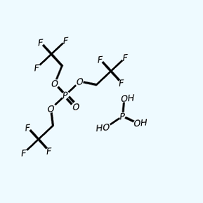 O=P(OCC(F)(F)F)(OCC(F)(F)F)OCC(F)(F)F.OP(O)O